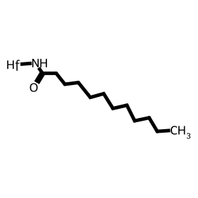 CCCCCCCCCCCC(=O)[NH][Hf]